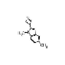 Cc1ccc2c(c1)cc(C1C=NC1)n2C